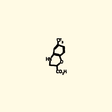 O=C(O)C1CNc2cc(C(F)(F)F)ccc2O1